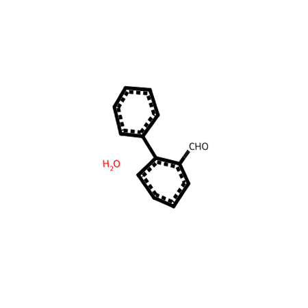 O.O=Cc1ccccc1-c1ccccc1